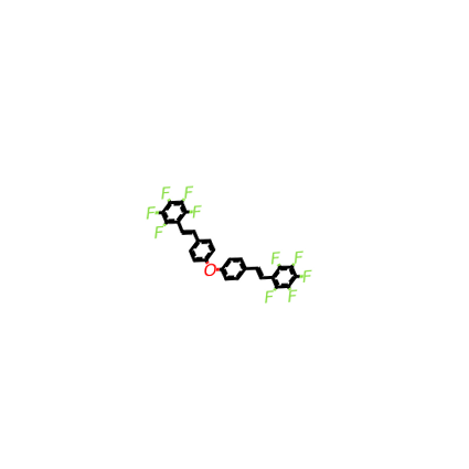 Fc1c(F)c(F)c(/C=C/c2ccc(Oc3ccc(/C=C/c4c(F)c(F)c(F)c(F)c4F)cc3)cc2)c(F)c1F